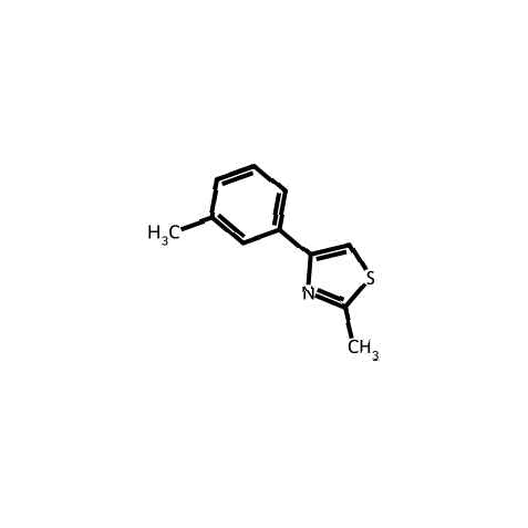 Cc1cccc(-c2csc(C)n2)c1